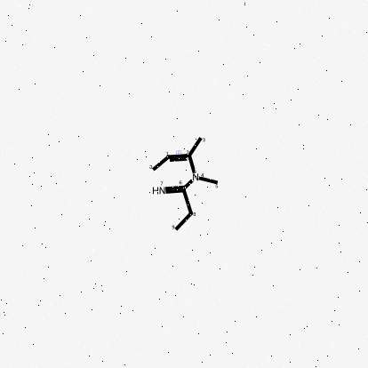 C/C=C(/C)N(C)C(=N)CC